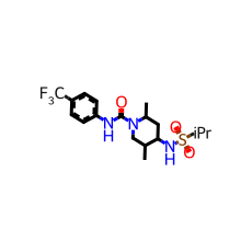 CC1CN(C(=O)Nc2ccc(C(F)(F)F)cc2)C(C)CC1NS(=O)(=O)C(C)C